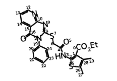 CCOC(=O)c1c(NC(=O)CSc2nc3ncccc3c(=O)n2-c2ccccc2)sc(C)c1C